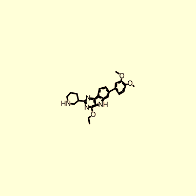 CCOc1nc(C2CCCNC2)nc2c1[nH]c1cc(-c3ccc(OC)c(OC)c3)ccc12